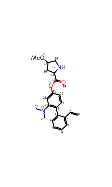 C=Cc1ccccc1-c1ccc(OC(=O)C2CC(OC)CN2)cc1N(C)C